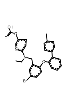 CCN(Cc1cc(Br)ccc1Oc1ccccc1-c1ccc(C)cc1)c1ccc(OC(=O)O)cn1